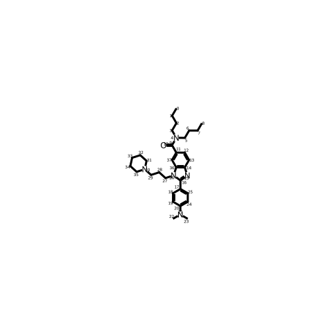 CCCCN(CCCC)C(=O)c1ccc2nc(-c3ccc(N(C)C)cc3)n(CCCN3CCCCC3)c2c1